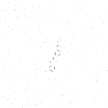 COc1cc(C(=O)C(=Cc2ccc(F)c(/C=C/C(=O)NO)c2)C(F)(F)F)cc(OC)c1OC